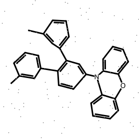 Cc1cccc(-c2ccc(N3c4ccccc4Oc4ccccc43)cc2-c2cccc(C)c2)c1